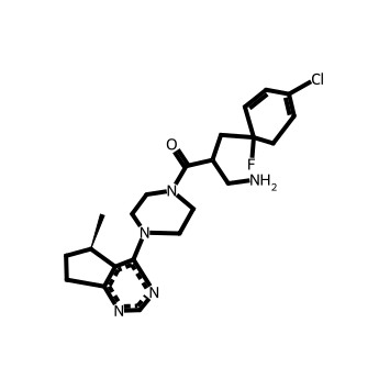 C[C@@H]1CCc2ncnc(N3CCN(C(=O)C(CN)CC4(F)C=CC(Cl)=CC4)CC3)c21